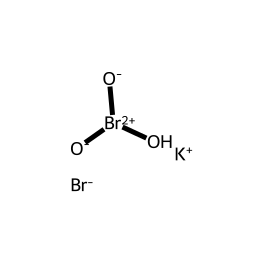 [Br-].[K+].[O-][Br+2]([O-])O